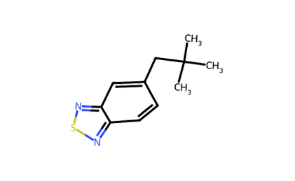 CC(C)(C)Cc1ccc2nsnc2c1